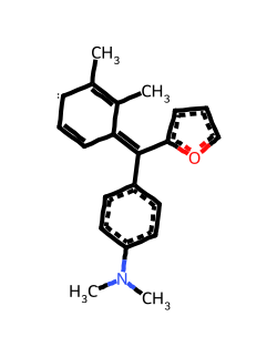 CC1=C(C)C(=C(c2ccc(N(C)C)cc2)c2ccco2)C=C[C]1